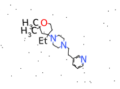 CCC1(N2CCN(CCc3cccnc3)CC2)CCOC(C)(C)C1